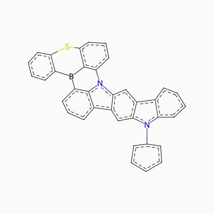 c1ccc(-n2c3ccccc3c3cc4c(cc32)c2cccc3c2n4-c2cccc4c2B3c2ccccc2S4)cc1